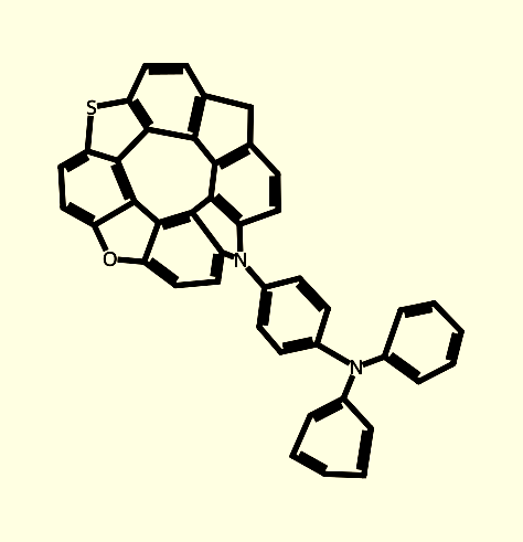 c1ccc(N(c2ccccc2)c2ccc(-n3c4ccc5c6c7c(ccc8sc9ccc%10oc%11ccc3c(c%11c%10c9c87)c64)C5)cc2)cc1